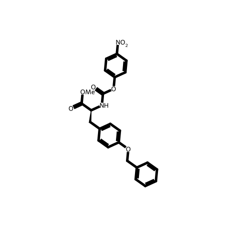 COC(=O)[C@H](Cc1ccc(OCc2ccccc2)cc1)NC(=O)Oc1ccc([N+](=O)[O-])cc1